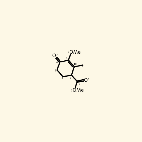 COC(=O)C1CCC(=O)C(OC)=C1C